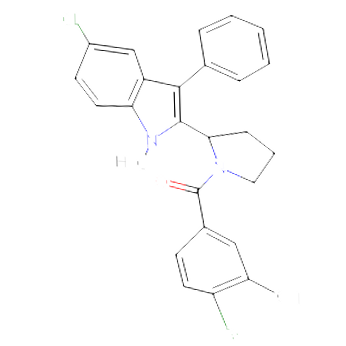 Cc1cc(C(=O)N2CCCC2c2c(-c3ccccc3)c3cc(Cl)ccc3n2C)ccc1Br